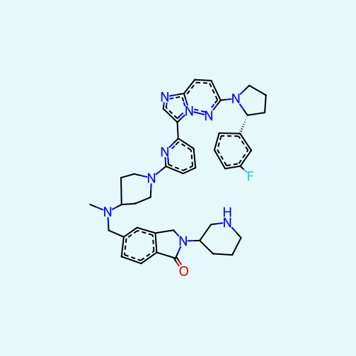 CN(Cc1ccc2c(c1)CN(C1CCCNC1)C2=O)C1CCN(c2cccc(-c3cnc4ccc(N5CCC[C@@H]5c5cccc(F)c5)nn34)n2)CC1